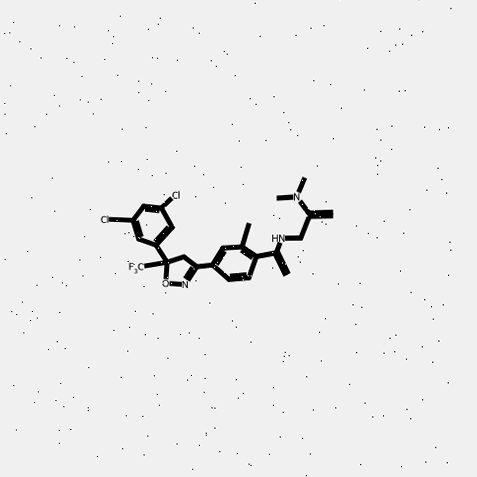 C=C(NCC(=C)N(C)C)c1ccc(C2=NOC(c3cc(Cl)cc(Cl)c3)(C(F)(F)F)C2)cc1C